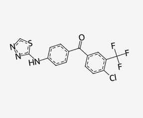 O=C(c1ccc(Nc2nncs2)cc1)c1ccc(Cl)c(C(F)(F)F)c1